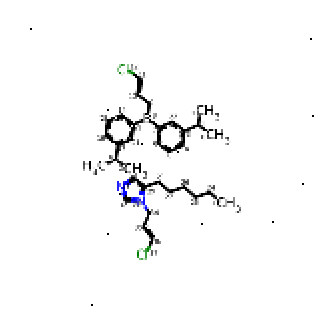 CC(C)c1cccc(B(CC=CCl)c2cccc(C(C)C)c2)c1.CCCCCCc1cncn1CC=CCl